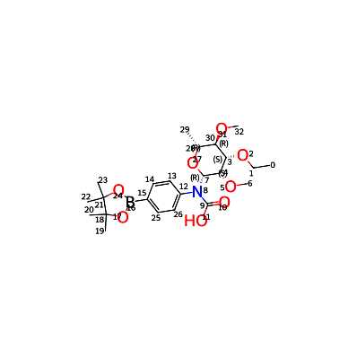 CCO[C@@H]1[C@H](OC)[C@H](N(C(=O)O)c2ccc(B3OC(C)(C)C(C)(C)O3)cc2)O[C@H](C)[C@H]1OC